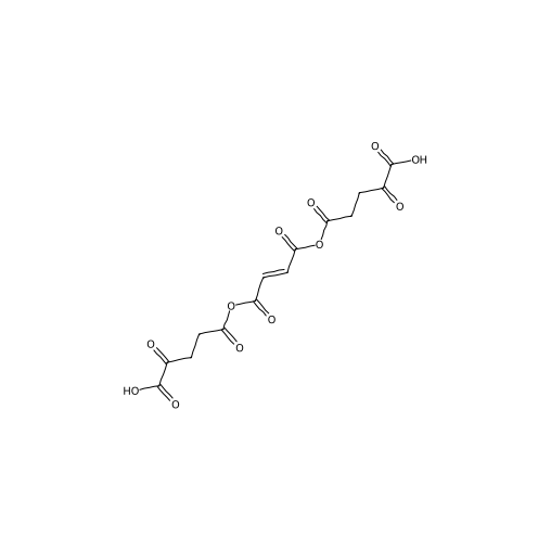 O=C(/C=C/C(=O)OC(=O)CCC(=O)C(=O)O)OC(=O)CCC(=O)C(=O)O